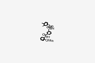 COc1ccccc1NC(=O)c1cccc(CNS(=O)(=O)Cc2ccc(C)c(C)c2)c1